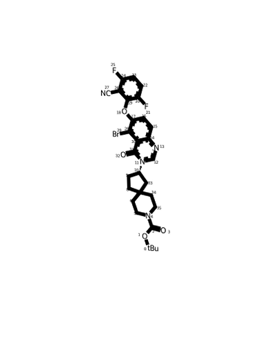 CC(C)(C)OC(=O)N1CCC2(CC[C@H](n3cnc4ccc(Oc5c(F)ccc(F)c5C#N)c(Br)c4c3=O)C2)CC1